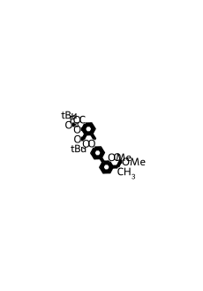 COC(=O)C(C)c1cccc(-c2ccc(OCc3ccc(C(F)(F)F)c(OC(=O)OC(C)(C)C)c3C(=O)OC(C)(C)C)cc2)c1OC